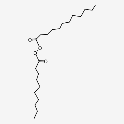 CCCCCCCCCCCC(=O)OOC(=O)CCCCCCCCC